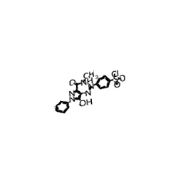 CNC(=O)c1nn(-c2ccccc2)c(O)c1/N=N/c1ccc(S(=O)(=O)Cl)cc1